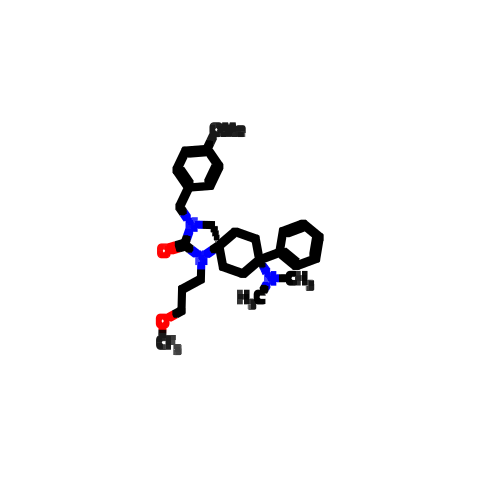 COc1ccc(CN2C[C@]3(CC[C@](c4ccccc4)(N(C)C)CC3)N(CCCOC(F)(F)F)C2=O)cc1